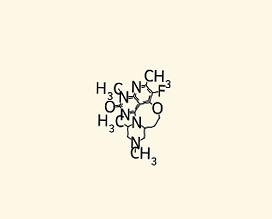 Cc1nc2c3c(nc(=O)n2C)N2C(C)CN(C)CC2CCOc3c1F